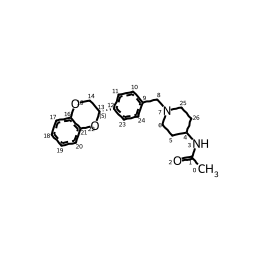 CC(=O)NC1CCN(Cc2ccc([C@H]3COc4ccccc4O3)cc2)CC1